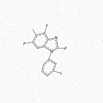 Cc1c(F)cc2c(nc(F)n2-c2cccc(I)c2)c1F